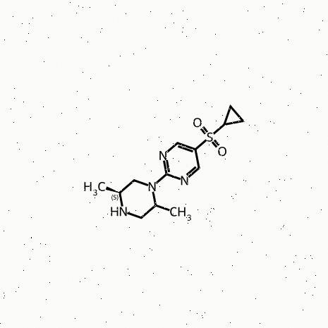 CC1CN[C@@H](C)CN1c1ncc(S(=O)(=O)C2CC2)cn1